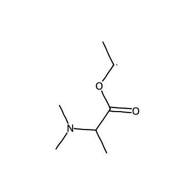 C[CH]OC(=O)C(C)N(C)C